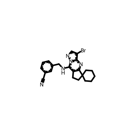 N#Cc1cccc(CNc2c3c(nc4c(Br)cnn24)C2(CCCCC2)CC3)c1